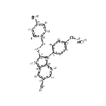 COc1ccc(-n2c(SCc3ccc(Br)cc3)nc3cc(Br)ccc32)cc1.Cl